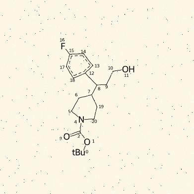 CC(C)(C)OC(=O)N1CCC(C(CCO)c2ccc(F)cc2)CC1